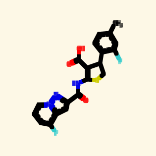 Cc1ccc(C2CSC(NC(=O)c3cc4c(F)cccn4n3)=C2C(=O)O)c(F)c1